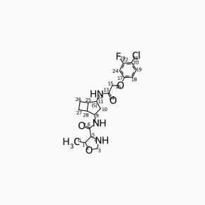 CC1OCNC1C(=O)NC1C[C@H](NC(=O)COc2ccc(Cl)c(F)c2)C2CCC12